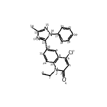 CCn1c(=O)cc(Cl)c2cc(-c3nc(C)nn3-c3ccccc3)ccc21